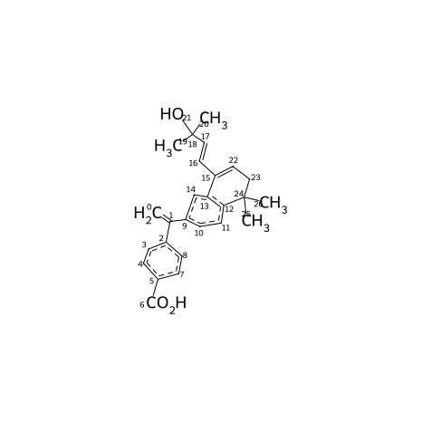 C=C(c1ccc(C(=O)O)cc1)c1ccc2c(c1)C(/C=C/C(C)(C)O)=CCC2(C)C